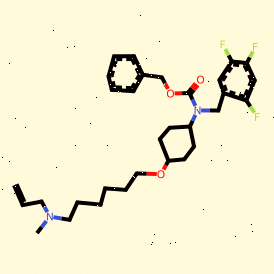 C=CCN(C)CCCCCCOC1CCC(N(Cc2cc(F)c(F)cc2F)C(=O)OCc2ccccc2)CC1